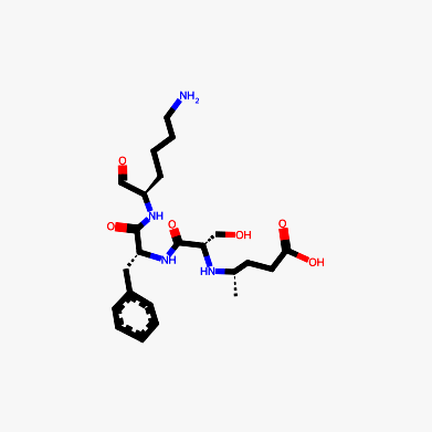 C[C@@H](CCC(=O)O)N[C@@H](CO)C(=O)N[C@H](Cc1ccccc1)C(=O)N[C@@H](C=O)CCCCN